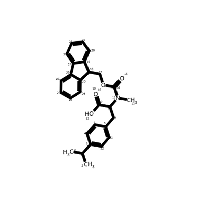 CC(C)c1ccc(CC(C(=O)O)N(C)C(=O)OCC2c3ccccc3-c3ccccc32)cc1